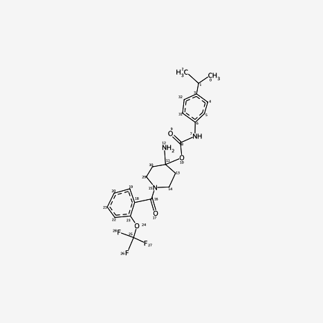 CC(C)c1ccc(NC(=O)OC2(N)CCN(C(=O)c3ccccc3OC(F)(F)F)CC2)cc1